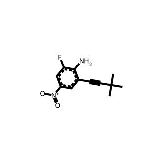 CC(C)(C)C#Cc1cc([N+](=O)[O-])cc(F)c1N